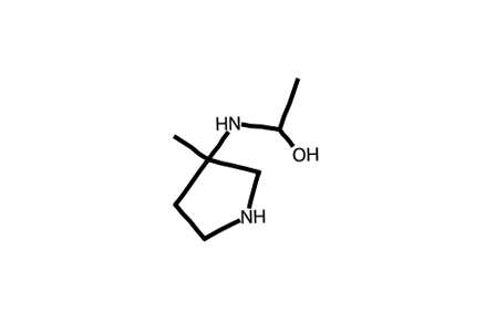 CC(O)NC1(C)CCNC1